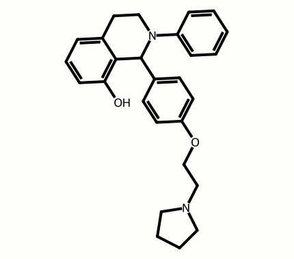 Oc1cccc2c1C(c1ccc(OCCN3CCCC3)cc1)N(c1ccccc1)CC2